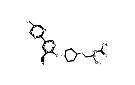 CC(=O)N[C@@H](C)CO[C@H]1CC[C@H](Oc2ncc(-c3ncc(Cl)cn3)cc2C#N)CC1